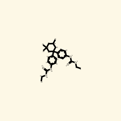 CCOC(=O)Oc1ccc(C2(c3ccc(OC(=O)OCC)cc3)CC(C)CC(C)(C)C2)cc1